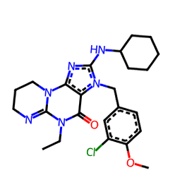 CCN1C(=O)c2c(nc(NC3CCCCC3)n2Cc2ccc(OC)c(Cl)c2)N2CCCN=C12